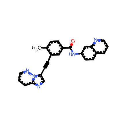 Cc1ccc(C(=O)Nc2ccc3cccnc3c2)cc1C#Cc1cnc2cccnn12